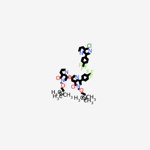 C[Si](C)(C)CCOCn1cc(-c2ccc(C(F)(F)F)cc2)c2ncccc2c1=O.C[Si](C)(C)CCOCn1cc(Br)c2ncccc2c1=O.FC(F)(F)c1ccc(-c2cnc(Cl)c3cccnc23)cc1